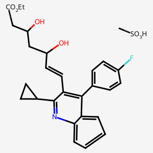 CCOC(=O)CC(O)CC(O)/C=C/c1c(C2CC2)nc2ccccc2c1-c1ccc(F)cc1.CS(=O)(=O)O